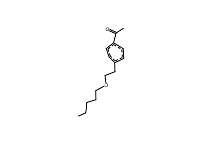 CCCCCOCCc1ccc(C(C)=O)cc1